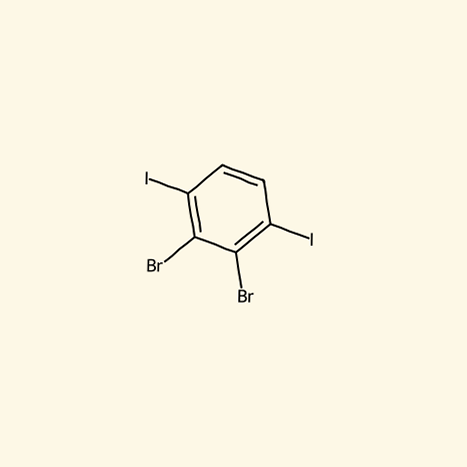 Brc1c(I)ccc(I)c1Br